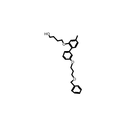 Cc1ccc(-c2cccc(OCCCOCc3ccccc3)c2)c(OCCCCO)c1